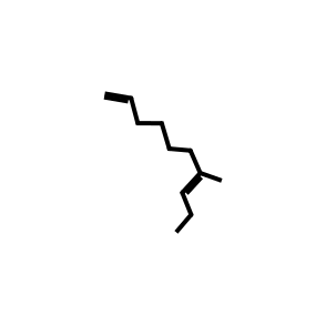 C=CCCCCC(C)=CCC